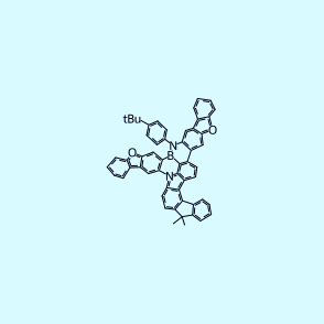 CC(C)(C)c1ccc(N2B3c4cc5oc6ccccc6c5cc4-n4c5ccc6c(c5c5ccc(c3c54)-c3cc4oc5ccccc5c4cc32)-c2ccccc2C6(C)C)cc1